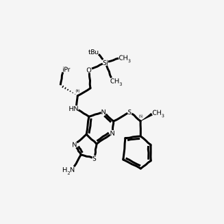 CC(C)C[C@H](CO[Si](C)(C)C(C)(C)C)Nc1nc(S[C@@H](C)c2ccccc2)nc2sc(N)nc12